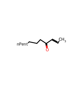 CC=CC(=O)CCCCCCCC